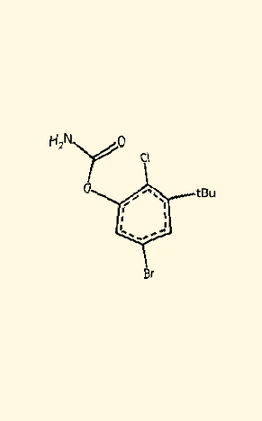 CC(C)(C)c1cc(Br)cc(OC(N)=O)c1Cl